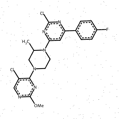 COc1ncc(Cl)c(N2CCN(c3cc(-c4ccc(F)cc4)nc(Cl)n3)C(C)C2)n1